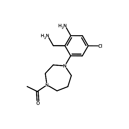 CC(=O)N1CCCN(c2cc(Cl)cc(N)c2CN)CC1